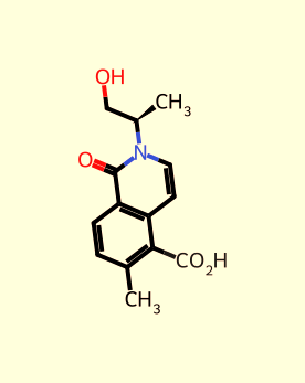 Cc1ccc2c(=O)n([C@H](C)CO)ccc2c1C(=O)O